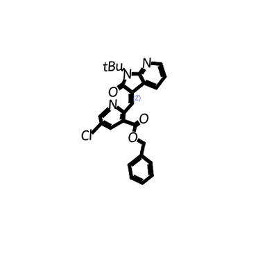 CC(C)(C)N1C(=O)/C(=C\c2ncc(Cl)cc2C(=O)OCc2ccccc2)c2cccnc21